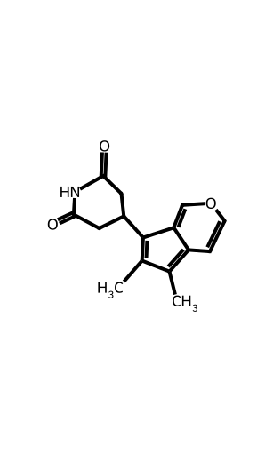 Cc1c2ccocc-2c(C2CC(=O)NC(=O)C2)c1C